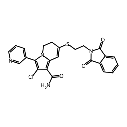 NC(=O)c1c(Cl)c(-c2cccnc2)n2c1C=C(SCCN1C(=O)c3ccccc3C1=O)CC2